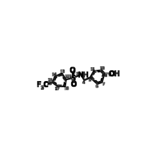 O=S(=O)(NCc1ccc(O)cc1)c1ccc(C(F)(F)F)cc1